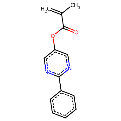 C=C(C)C(=O)Oc1cnc(-c2ccccc2)nc1